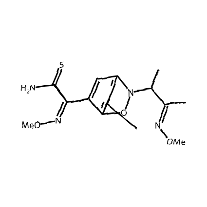 CON=C(C(N)=S)c1cc2cc(C)c1ON2C(C)C(C)=NOC